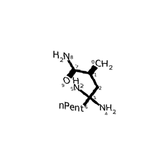 C=C(CC(N)(N)CCCCC)C(N)=O